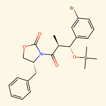 C[C@H](C(=O)N1C(=O)OC[C@H]1Cc1ccccc1)[C@@H](O[Si](C)(C)C)c1cccc(Br)c1